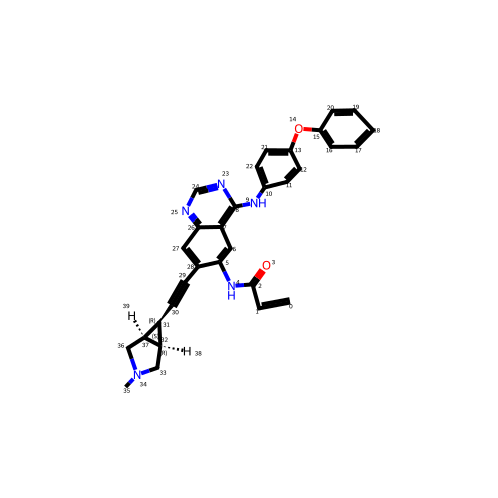 C=CC(=O)Nc1cc2c(Nc3ccc(Oc4ccccc4)cc3)ncnc2cc1C#C[C@H]1[C@H]2CN(C)C[C@@H]12